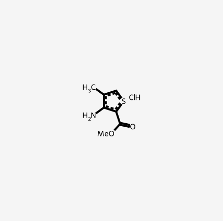 COC(=O)c1scc(C)c1N.Cl